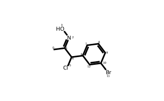 CC(=NO)C(Cl)c1cccc(Br)c1